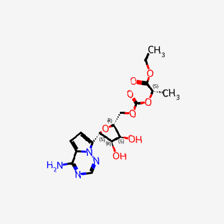 CCOC(=O)[C@H](C)OC(=O)OC[C@H]1O[C@@H](c2ccc3c(N)ncnn23)[C@H](O)[C@@H]1O